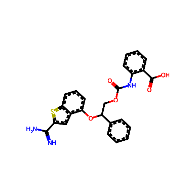 N=C(N)c1cc2c(OC(COC(=O)Nc3ccccc3C(=O)O)c3ccccc3)cccc2s1